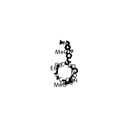 CCC1/C=C(\C)CC(C)CC(OC)C2OC(O)(C(=O)C(=O)N3CCCCC3C(=O)OC(C(C)=CC3CCC(N(C)c4ccc5c(ccn5C5CC5)c4)C(OC)C3)C(C)CCC1=O)C(C)CC2OC